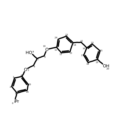 CC(C)c1ccc(OCC(O)COc2ccc(Cc3ccc(O)cc3)cc2)cc1